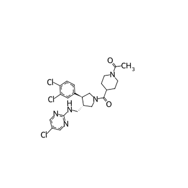 CC(=O)N1CCC(C(=O)N2C[C@H](CNc3ncc(Cl)cn3)[C@@H](c3ccc(Cl)c(Cl)c3)C2)CC1